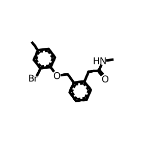 CNC(=O)Cc1ccccc1COc1ccc(C)cc1Br